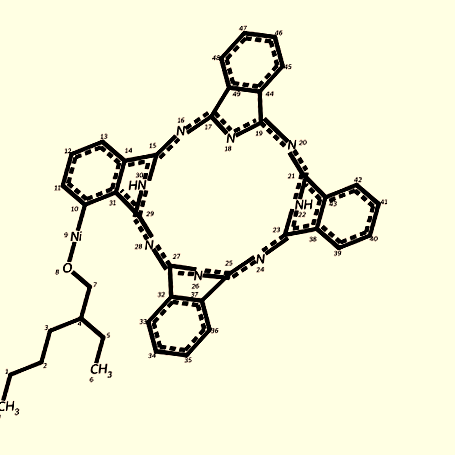 CCCCC(CC)C[O][Ni][c]1cccc2c3nc4nc(nc5[nH]c(nc6nc(nc([nH]3)c12)-c1ccccc1-6)c1ccccc51)-c1ccccc1-4